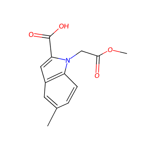 COC(=O)Cn1c(C(=O)O)cc2cc(C)ccc21